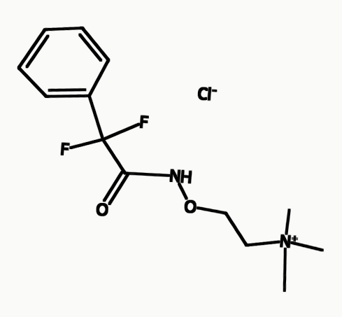 C[N+](C)(C)CCONC(=O)C(F)(F)c1ccccc1.[Cl-]